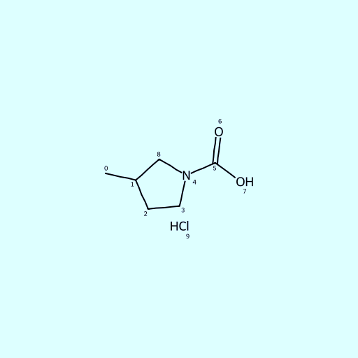 CC1CCN(C(=O)O)C1.Cl